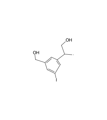 [CH2]C(CO)c1cc(I)cc(CO)c1